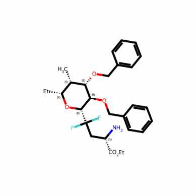 CCOC(=O)[C@@H](N)CC(F)(F)[C@@H]1O[C@H](CC)[C@H](C)[C@H](OCc2ccccc2)[C@H]1OCc1ccccc1